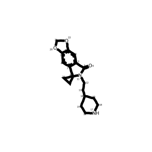 O=C1c2cc3c(cc2C2(CC2)N1CCC1CCNCC1)OCO3